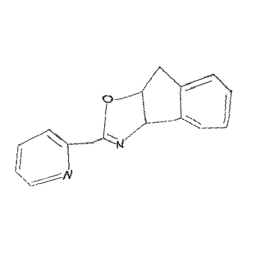 c1ccc(C2=NC3c4ccccc4CC3O2)nc1